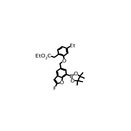 CCOC(=O)Cc1ccc(CC)cc1OCc1cc(B2OC(C)(C)C(C)(C)O2)c2oc(F)cc2c1